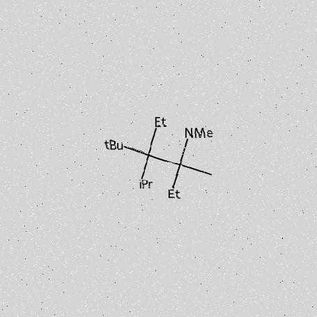 CCC(C)(NC)C(CC)(C(C)C)C(C)(C)C